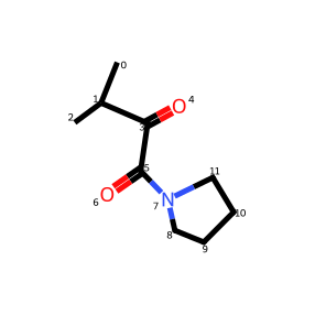 CC(C)C(=O)C(=O)N1CCCC1